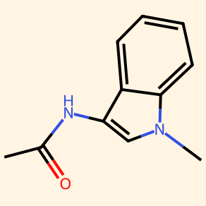 CC(=O)Nc1cn(C)c2ccccc12